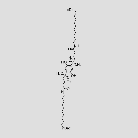 CCCCCCCCCCCCCCCCCCCCNC(=O)CCCC(C)(C)c1cc(O)c(C(C)(C)CCCC(=O)NCCCCCCCCCCCCCCCCCCCC)cc1O